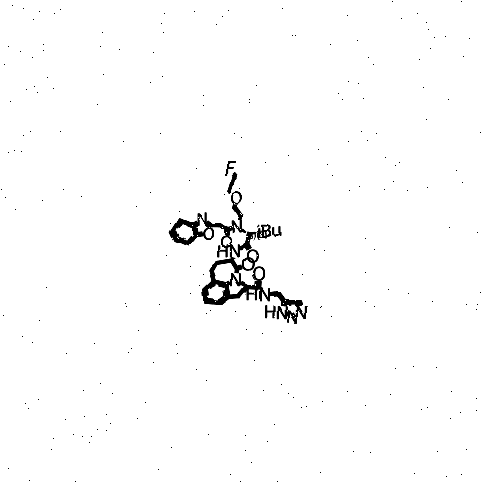 CC[C@H](C)[C@@H](C(=O)NC1CCc2cccc3c2N(C1=O)C(C(=O)NCc1cnn[nH]1)C3)N(CCOCCF)C(=O)Cc1nc2ccccc2o1